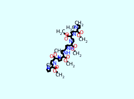 C=COC(=O)/C(C1=N/C(=C(/C(=O)OC=C)c2ccc(-c3ccc(/C(C(=O)OC=C)=C4/C=CC(C(/C(=O)OC=C)=C5/C=CC(C(/C(=O)OC=C)=c6/ccc(=C)n6C)=N5)=N4)[nH]3)[nH]2)C=C1)=C1\C=CC(C(/C(=O)OC=C)=C2/C=CCN2C)=N1